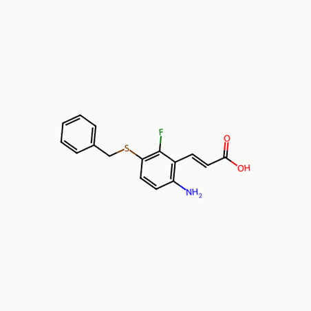 Nc1ccc(SCc2ccccc2)c(F)c1C=CC(=O)O